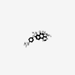 CC1(C)C(=O)c2c(ccc(OC3CCC(N)CC3)c2N)-c2ncnc(N)c21